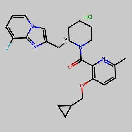 Cc1ccc(OCC2CC2)c(C(=O)N2CCCC[C@H]2Cc2cn3cccc(F)c3n2)n1.Cl